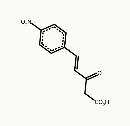 O=C(O)CC(=O)/C=C/c1ccc([N+](=O)[O-])cc1